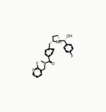 CN(Cc1cccnc1F)C(=O)c1ccc(C[C@@H]2CC[C@H]([C@H](O)c3ccc(F)cc3)N2)cc1